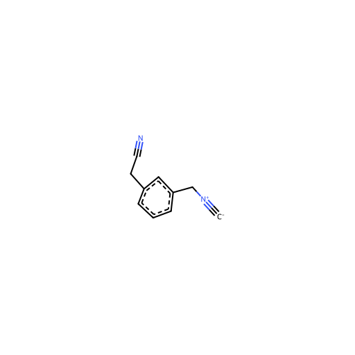 [C-]#[N+]Cc1cccc(CC#N)c1